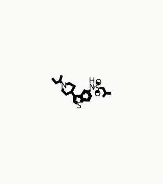 CCC(C)N1CCC(c2csc3ccc(NS(=O)(=O)CC(C)C)cc23)CC1